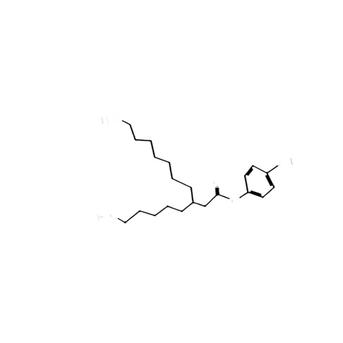 CCCCCCCCC(CCCCCC)CC(=O)Oc1ccc(C)cc1